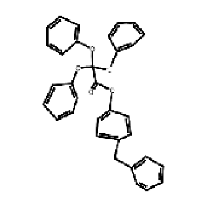 O=C(Oc1ccc(Cc2ccccc2)cc1)C(Oc1ccccc1)(Oc1ccccc1)Oc1ccccc1